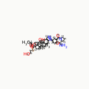 CCC(=O)O[C@]1(C(=O)SCCO)CC[C@H]2[C@@H]3CCC4=Cc5c(cnn5-c5cccc(C(=O)N6CCC[C@@H]6C(N)=O)c5)C[C@]4(C)[C@H]3[C@@H](O)C[C@@]21C